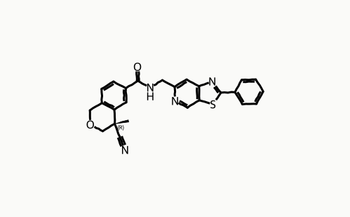 C[C@@]1(C#N)COCc2ccc(C(=O)NCc3cc4nc(-c5ccccc5)sc4cn3)cc21